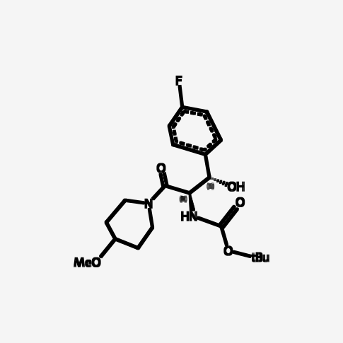 COC1CCN(C(=O)[C@H](NC(=O)OC(C)(C)C)[C@@H](O)c2ccc(F)cc2)CC1